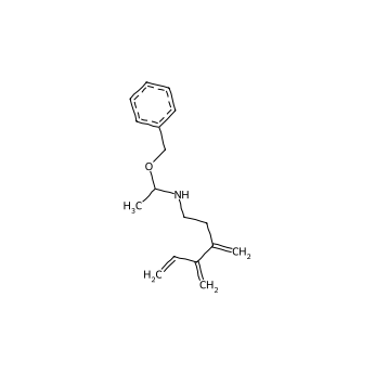 C=CC(=C)C(=C)CCNC(C)OCc1ccccc1